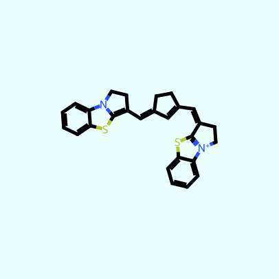 C1=C(/C=C2/CC[n+]3c2sc2ccccc23)CC/C1=C\C1=C2Sc3ccccc3N2CC1